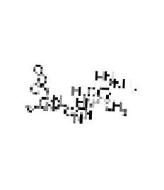 Cc1cc(C(=N)N)cc(C)c1CNc1cc(OCc2cn3cc(C4CC4)cc(CC(=O)OC=O)c3n2)ncn1